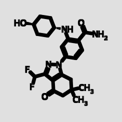 CC1(C)CC(=O)c2c(C(F)F)nn(-c3ccc(C(N)=O)c(N[C@H]4CC[C@H](O)CC4)c3)c2C1